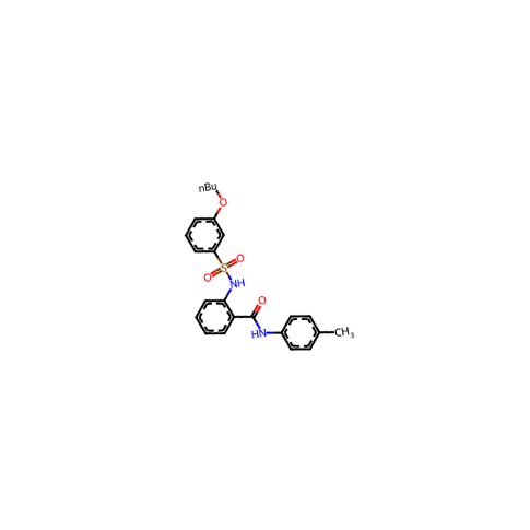 CCCCOc1cccc(S(=O)(=O)Nc2ccccc2C(=O)Nc2ccc(C)cc2)c1